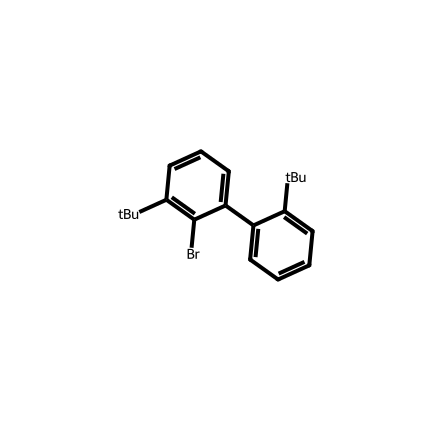 CC(C)(C)c1ccccc1-c1cccc(C(C)(C)C)c1Br